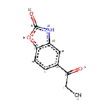 N#CCC(=O)c1ccc2oc(=O)[nH]c2c1